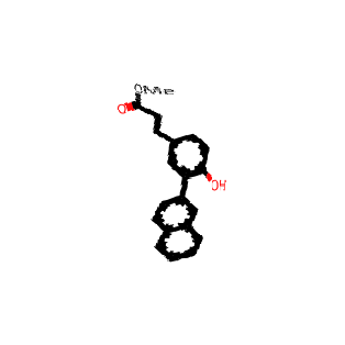 COC(=O)CCc1ccc(O)c(-c2ccc3ccccc3c2)c1